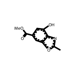 COC(=O)c1cc(O)c2nc(C)oc2c1